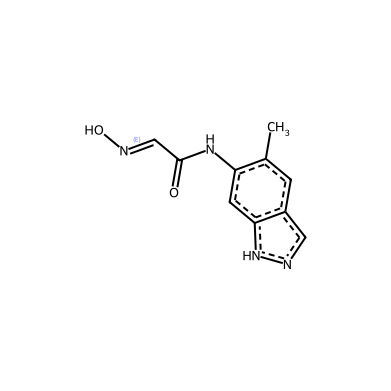 Cc1cc2cn[nH]c2cc1NC(=O)/C=N/O